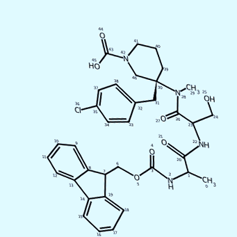 CC(NC(=O)OCC1c2ccccc2-c2ccccc21)C(=O)NC(CO)C(=O)N(C)[C@@]1(Cc2ccc(Cl)cc2)CCCN(C(=O)O)C1